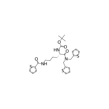 CC(C)(C)OC(=O)N[C@@H](CCCCNC(=O)c1cccs1)C(=O)N(Cc1cccs1)Cc1cccs1